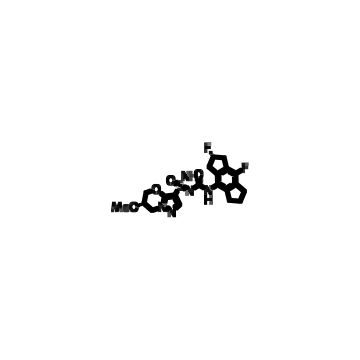 CO[C@@H]1COc2c([S@@](N)(=O)=NC(=O)Nc3c4c(c(F)c5c3C[C@H](F)C5)CCC4)cnn2C1